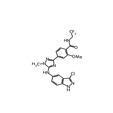 COc1cc(-c2nc(Nc3ccc4[nH]nc(Cl)c4c3)n(C)n2)ccc1C(=O)NCC(F)(F)F